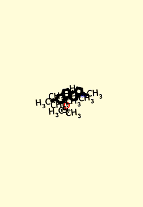 C/C=C1\CC[C@H]2[C@@H]3CCC4CC(C(C)(C)C)CC(O[SiH](C)C)[C@]4(C)[C@H]3CC[C@]12C